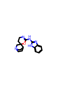 c1ccc2[nH]c(NC3=NCCC4(CN5CCC4CC5)O3)nc2c1